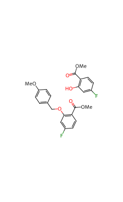 COC(=O)c1ccc(F)cc1O.COC(=O)c1ccc(F)cc1OCc1ccc(OC)cc1